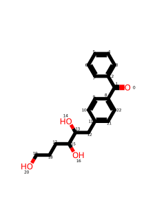 O=C(c1ccccc1)c1ccc(CC(O)C(O)CCCO)cc1